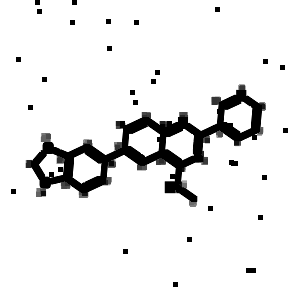 CNc1nc(-c2cccnc2)nc2ccc(-c3ccc4c(c3)OCO4)cc12